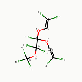 FC(F)=COC(F)([O][Cf]=[C](F)F)C(F)(F)OC(F)(F)F